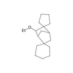 CCOC1C2CC(CC23CCCCC3)C12CCCC2